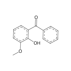 COc1cccc(C(=O)c2ccccc2)c1O